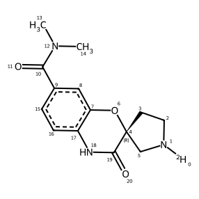 [2H]N1CC[C@]2(C1)Oc1cc(C(=O)N(C)C)ccc1NC2=O